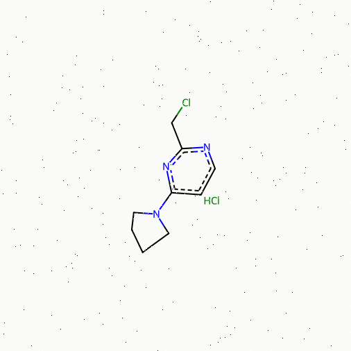 Cl.ClCc1nccc(N2CCCC2)n1